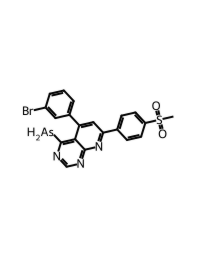 CS(=O)(=O)c1ccc(-c2cc(-c3cccc(Br)c3)c3c([AsH2])ncnc3n2)cc1